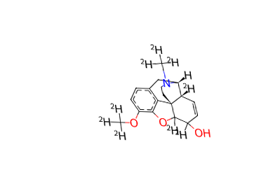 [2H]C([2H])([2H])Oc1ccc2c3c1OC1([2H])C([2H])(O)C=C[C@@]4([2H])[C@@H](C2)N(C([2H])([2H])[2H])CC[C@]314